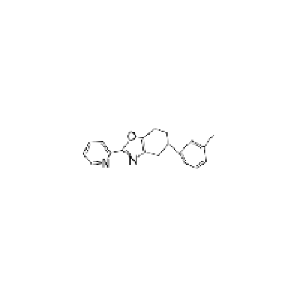 Cc1cccc(C2CCc3oc(-c4ccccn4)nc3C2)c1